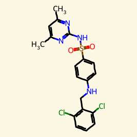 Cc1cc(C)nc(NS(=O)(=O)c2ccc(NCc3c(Cl)cccc3Cl)cc2)n1